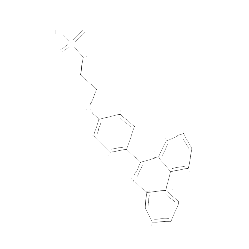 O=S(=O)(O)CCCOc1ccc(-c2nc3ccccc3c3ccccc23)cc1